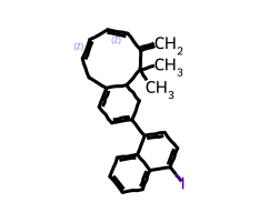 C=C1/C=C\C=C/CC2=CC=C(c3ccc(I)c4ccccc34)CC2C1(C)C